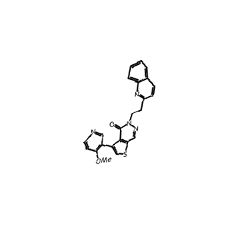 COc1ccncc1-c1csc2cnn(CCc3ccc4ccccc4n3)c(=O)c12